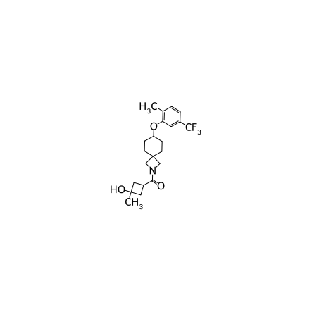 Cc1ccc(C(F)(F)F)cc1OC1CCC2(CC1)CN(C(=O)C1CC(C)(O)C1)C2